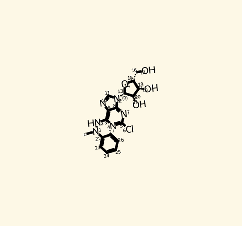 CN(Nc1nc(Cl)nc2c1ncn2[C@@H]1O[C@H](CO)[C@@H](O)[C@H]1O)c1ccccc1